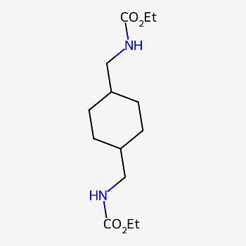 CCOC(=O)NCC1CCC(CNC(=O)OCC)CC1